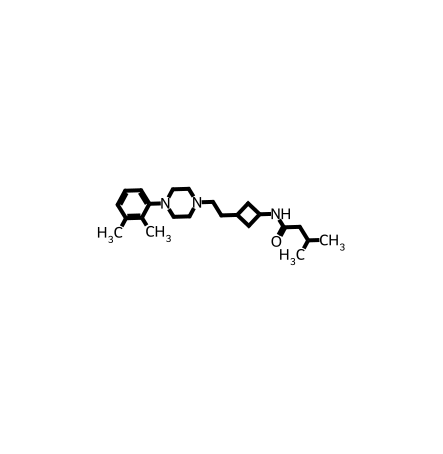 Cc1cccc(N2CCN(CCC3CC(NC(=O)CC(C)C)C3)CC2)c1C